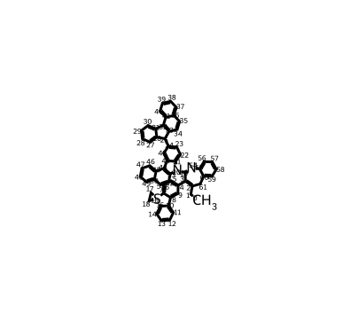 CCC1=C(c2ccc3c(c2)-c2ccccc2S32CC2)C(n2c3ccc(C4c5ccccc5-c5c4ccc4ccccc54)cc3c3c4ccccc4ccc32)=Nc2ccccc2C1